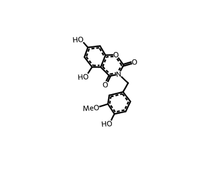 COc1cc(Cn2c(=O)oc3cc(O)cc(O)c3c2=O)ccc1O